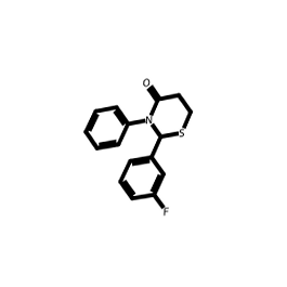 O=C1CCSC(c2cccc(F)c2)N1c1ccccc1